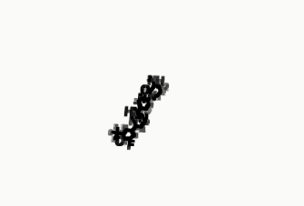 CC1(C)COc2c(F)cc(-c3ccnc(Nc4ccc(N5CCCC(N)C5=O)nc4)n3)cc21